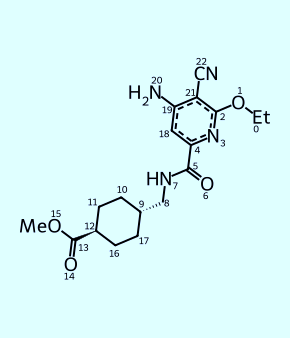 CCOc1nc(C(=O)NC[C@H]2CC[C@H](C(=O)OC)CC2)cc(N)c1C#N